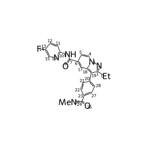 CCc1nn2ccc(C(=O)Nc3ccc(F)cn3)cc2c1-c1ccc(C(=O)NC)cc1